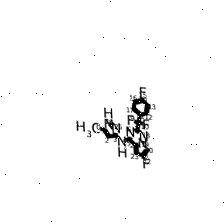 Cc1cc(Nc2nc(C(F)(F)c3ccc(F)cc3)nn3cc(F)cc23)n[nH]1